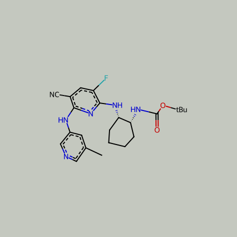 Cc1cncc(Nc2nc(N[C@H]3CCCC[C@H]3NC(=O)OC(C)(C)C)c(F)cc2C#N)c1